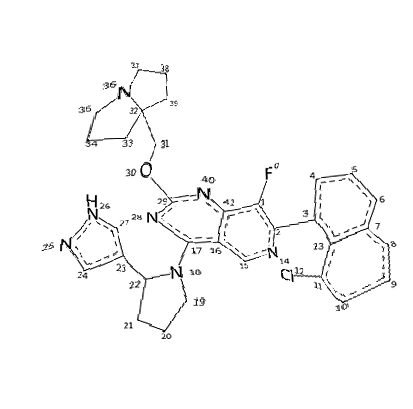 Fc1c(-c2cccc3cccc(Cl)c23)ncc2c(N3CCCC3c3cn[nH]c3)nc(OCC34CCCN3CCC4)nc12